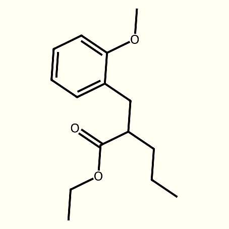 CCCC(Cc1ccccc1OC)C(=O)OCC